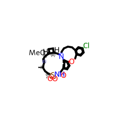 CO[C@H]1/C=C/[C@H](C)C[C@@H](C)S(=O)(=O)NC(=O)c2ccc3c(c2)N(CCCCc2cc(Cl)ccc2CO3)C[C@@H]2CC[C@H]21